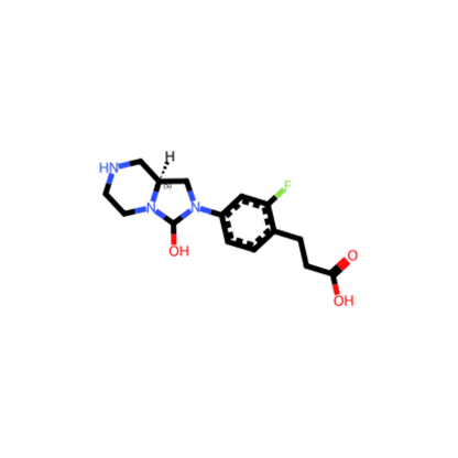 O=C(O)CCc1ccc(N2C[C@@H]3CNCCN3C2O)cc1F